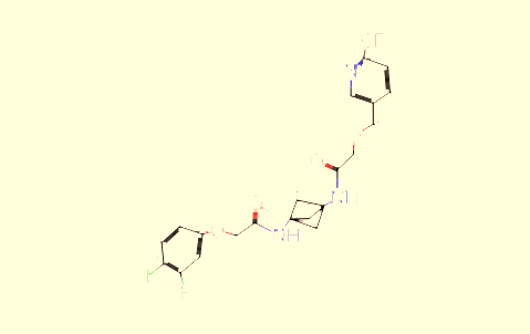 O=C(COCc1ccc(C(F)(F)F)nc1)NC12CC(NC(=O)COc3ccc(Cl)c(F)c3)(C1)C2